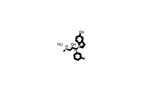 CNC[C@H](O)[C@H](c1cccc(F)c1)n1ccc2cc(O)ccc21.Cl